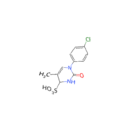 CC1=CN(c2ccc(Cl)cc2)C(=O)NC1S(=O)(=O)O